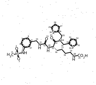 CS(=O)(=O)Nc1cccc(CNC(=O)N[C@@H](CCCCNC(=O)O)C(=O)N(Cc2cccs2)Cc2cccs2)c1